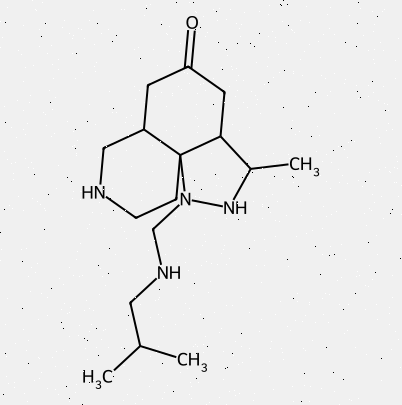 CC(C)CNCN1NC(C)C2CC(=O)CC3CNCCC321